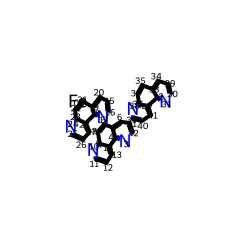 [Fe].c1cnc2c(c1)ccc1ncccc12.c1cnc2c(c1)ccc1ncccc12.c1cnc2c(c1)ccc1ncccc12